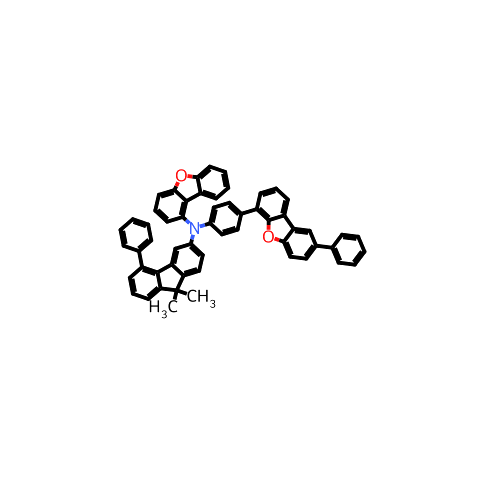 CC1(C)c2ccc(N(c3ccc(-c4cccc5c4oc4ccc(-c6ccccc6)cc45)cc3)c3cccc4oc5ccccc5c34)cc2-c2c(-c3ccccc3)cccc21